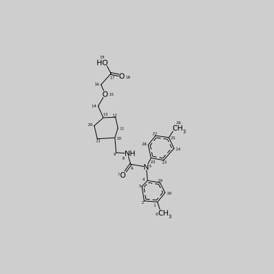 Cc1ccc(N(C(=O)NCC2CCC(COCC(=O)O)CC2)c2ccc(C)cc2)cc1